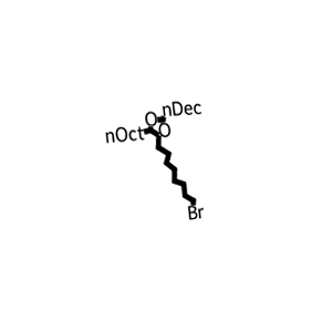 CCCCCCCCCCC1OC(CCCCCCCC)C(CCCCCCCCBr)O1